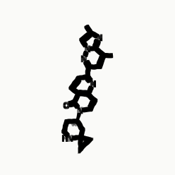 Cc1cn2nc(-c3ccc4c(=O)n([C@@H]5CCNC6(CC6)C5)ccc4n3)cc(C)c2n1